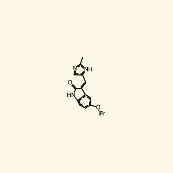 Cc1ncc(C=C2C(=O)Nc3ccc(OC(C)C)cc32)[nH]1